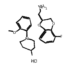 COc1ccccc1N1CCC(C)CC1.Cl.NCC1COc2c(F)cccc2O1